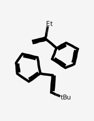 C=C(CC)c1ccccc1.CC(C)(C)C=Cc1ccccc1